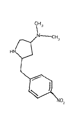 CN(C)C1CNC(Cc2ccc([N+](=O)[O-])cc2)C1